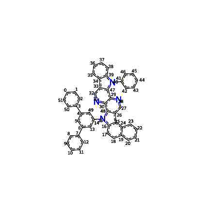 c1ccc(-c2cc(-c3ccccc3)cc(-n3c4ccc5ccccc5c4c4cnc5c(ncc6c7ccccc7n(-c7ccccc7)c65)c43)c2)cc1